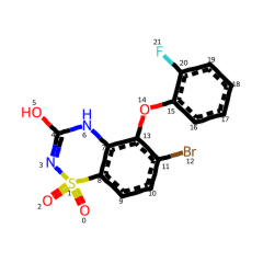 O=S1(=O)N=C(O)Nc2c1ccc(Br)c2Oc1ccccc1F